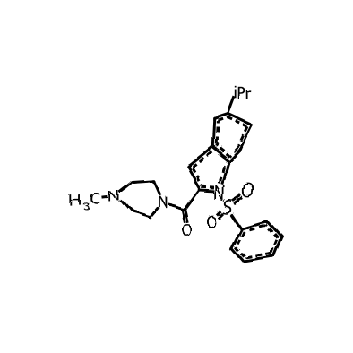 CC(C)c1ccc2c(c1)cc(C(=O)N1CCN(C)CC1)n2S(=O)(=O)c1ccccc1